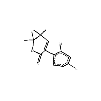 CC1(C)C=C(c2ccc(Cl)cc2Cl)C(=O)OC1(C)C